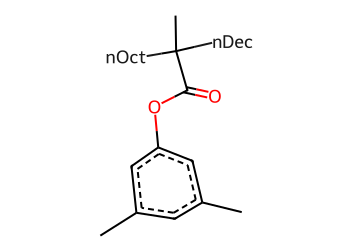 CCCCCCCCCCC(C)(CCCCCCCC)C(=O)Oc1cc(C)cc(C)c1